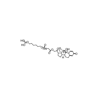 C[C@]12C[C@H](O)C3(F)[C@@H](CCC4=CC(=O)C=C[C@@]43C)C1CCC2C(=O)COC(=O)CNC(=O)OCCCCCCON(O)O